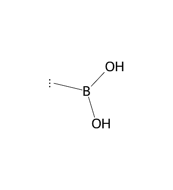 [C]B(O)O